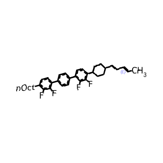 C/C=C/CCC1CCC(c2ccc(-c3ccc(-c4ccc(CCCCCCCC)c(F)c4F)cc3)c(F)c2F)CC1